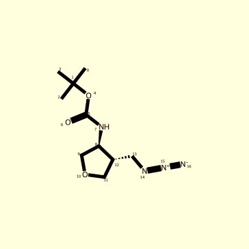 CC(C)(C)OC(=O)N[C@@H]1COC[C@H]1CN=[N+]=[N-]